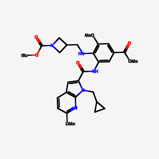 COC(=O)c1cc(NC(=O)c2cc3ccc(OC)nc3n2CC2CC2)c(NCC2CN(C(=O)OC(C)(C)C)C2)c(OC)c1